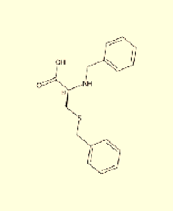 O=C(O)[C@H](CSCc1ccccc1)NCc1ccccc1